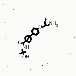 CC(C)(O)CNC(=O)C12CCC(c3ccc(OCC(=CF)CN)cc3)(CC1)CC2